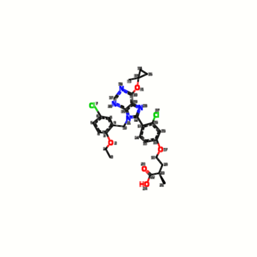 CCOc1ccc(Cl)cc1Cn1c(-c2ccc(OCC[C@@H](C)C(=O)O)cc2Cl)nc2c(OC3(C)CC3)ncnc21